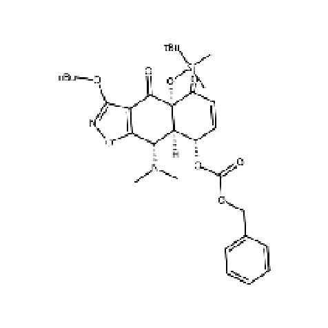 CCCCOc1noc2c1C(=O)[C@@]1(O[Si](C)(C)C(C)(C)C)C(=O)C=C[C@H](OC(=O)OCc3ccccc3)[C@H]1[C@@H]2N(C)C